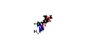 Cn1ccc(NC(=O)C(=C[C@H]2CCC(F)C2)c2ccc(S(=O)(=O)C3CC3)c(C3CC3)c2)n1